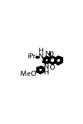 COc1ccc(Nc2cc(NCC(C)C)c3noc4c3c2C(=O)c2ccccc2-4)cc1